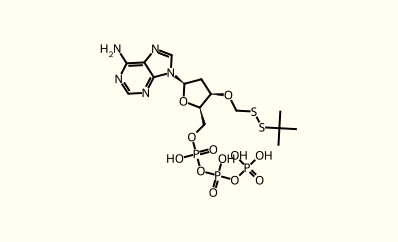 CC(C)(C)SSCO[C@@H]1C[C@H](n2cnc3c(N)ncnc32)O[C@@H]1COP(=O)(O)OP(=O)(O)OP(=O)(O)O